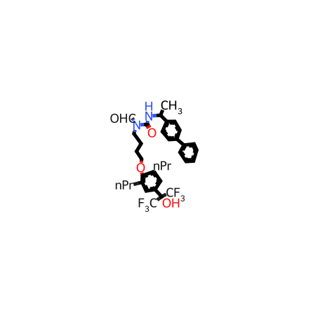 CCCc1cc(C(O)(C(F)(F)F)C(F)(F)F)cc(CCC)c1OCCCCN(C=O)C(=O)NC(C)c1ccc(-c2ccccc2)cc1